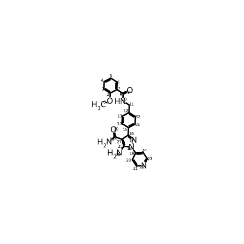 COc1ccccc1C(=O)NCc1ccc(-c2nn(-c3ccncc3)c(N)c2C(N)=O)cc1